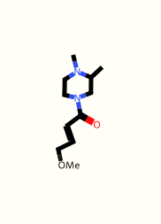 COC/C=C/C(=O)N1CCN(C)C(C)C1